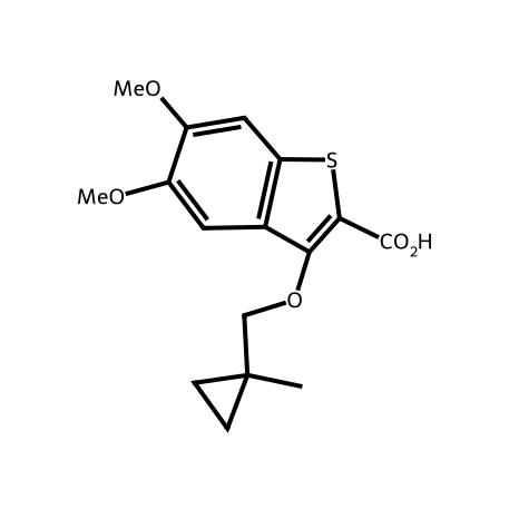 COc1cc2sc(C(=O)O)c(OCC3(C)CC3)c2cc1OC